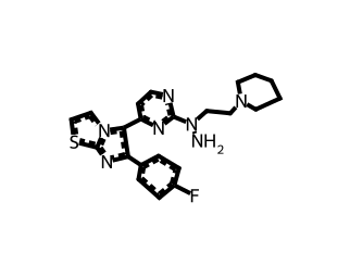 NN(CCN1CCCCC1)c1nccc(-c2c(-c3ccc(F)cc3)nc3sccn23)n1